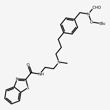 CN(CCCc1ccc(CN(C=O)OC(C)(C)C)cc1)CCNC(=O)c1nc2ccccc2s1